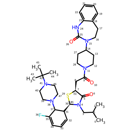 CC(C)CN1C(=O)[C@H](CC(=O)N2CCC(N3CCc4ccccc4NC3=O)CC2)S[C@@H]1C1C=CC=C(F)C1N1CCN(C(C)(C)C)CC1